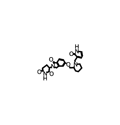 O=C1CCC(N2Cc3cc(OCC4CCCCN4Cc4ccc[nH]c4=O)ccc3C2=O)C(=O)N1